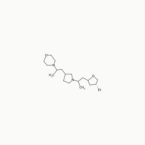 CC[C@H]1COC(CC(C)N2CCC(CC(C)N3CCOCC3)C2)C1